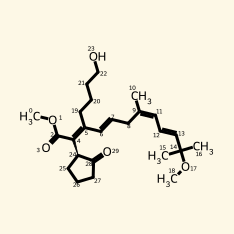 COC(=O)C(=C(/C=C/C/C(C)=C\C=CC(C)(C)OC)CCCCO)[C@@H]1CCCC1=O